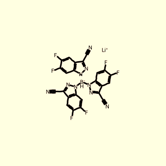 N#Cc1nn([BH-](n2nc(C#N)c3cc(F)c(F)cc32)n2nc(C#N)c3cc(F)c(F)cc32)c2cc(F)c(F)cc12.[Li+]